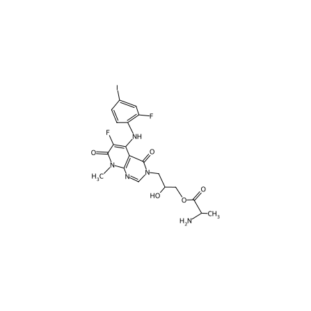 CC(N)C(=O)OCC(O)Cn1cnc2c(c(Nc3ccc(I)cc3F)c(F)c(=O)n2C)c1=O